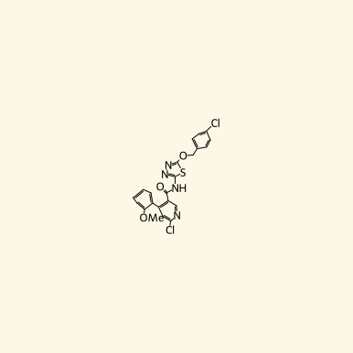 COc1ccccc1-c1cc(Cl)ncc1C(=O)Nc1nnc(OCc2ccc(Cl)cc2)s1